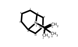 C=C(C)N1C2CCCC1CN(C)C2